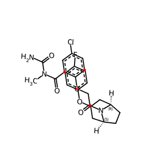 CN(C(N)=O)C(=O)c1cc(Cl)ccc1OCC(=O)N1[C@@H]2CC[C@H]1CC(Oc1ccc(F)cc1)C2